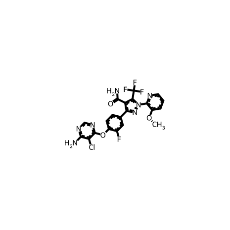 COc1cccnc1-n1nc(-c2ccc(Oc3ncnc(N)c3Cl)c(F)c2)c(C(N)=O)c1C(F)(F)F